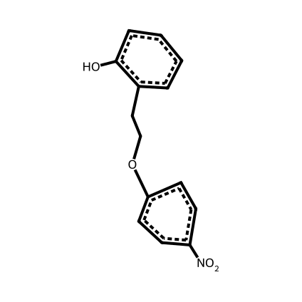 O=[N+]([O-])c1ccc(OCCc2ccccc2O)cc1